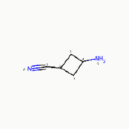 N#CC1CC(N)C1